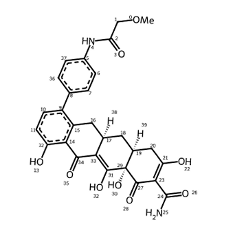 COCC(=O)Nc1ccc(-c2ccc(O)c3c2C[C@H]2C[C@H]4CC(O)=C(C(N)=O)C(=O)[C@@]4(O)C(O)=C2C3=O)cc1